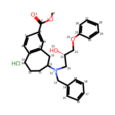 COC(=O)c1ccc2c(c1)CC(N(Cc1ccccc1)C[C@H](O)COc1ccccc1)CCC2.Cl